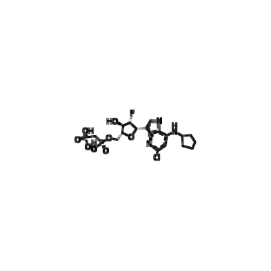 O=P(O)(O)CP(=O)(O)OC[C@H]1O[C@@H](c2cnc3c(NC4CCCC4)cc(Cl)nn23)[C@@H](F)[C@@H]1O